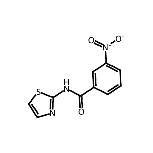 O=C(Nc1nccs1)c1cccc([N+](=O)[O-])c1